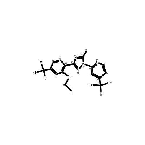 CCSc1cc(C(F)(F)F)cnc1-c1nc(C)n(-c2cc(C(F)(F)F)ccn2)n1